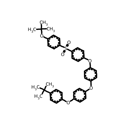 CC(C)(C)Oc1ccc(S(=O)(=O)c2ccc(Oc3ccc(Oc4ccc(Oc5ccc(C(C)(C)C)cc5)cc4)cc3)cc2)cc1